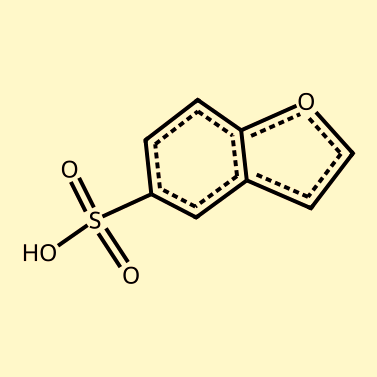 O=S(=O)(O)c1ccc2occc2c1